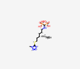 Cn1nnnc1SCCCCCCNC(P(=O)(O)O)P(=O)(O)O.[NaH].[NaH].[NaH]